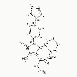 COc1ccccc1C1C(C(=O)CC(C)(C)C)=C(O)C(=O)N1c1ccc(-c2ccon2)cc1